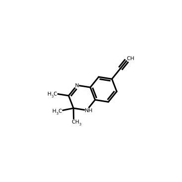 C#Cc1ccc2c(c1)N=C(C)C(C)(C)N2